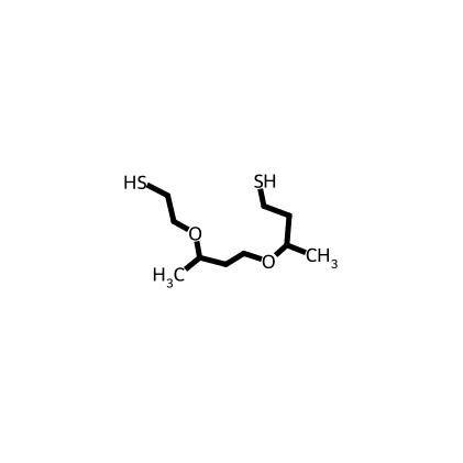 CC(CCS)OCCC(C)OCCS